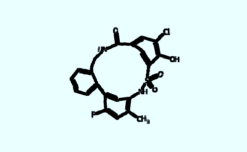 Cc1cc(F)c2cc1NS(=O)(=O)c1cc(cc(Cl)c1O)C(=O)NCc1ccccc1-2